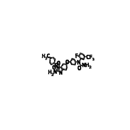 Cc1ccc(S(=O)(=O)n2c(N)nc3ccc(Oc4ccc(N(C(N)=O)c5cc(C(F)(F)F)ccc5F)cc4)cc32)cc1